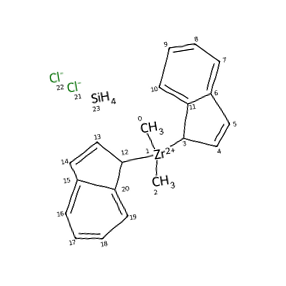 [CH3][Zr+2]([CH3])([CH]1C=Cc2ccccc21)[CH]1C=Cc2ccccc21.[Cl-].[Cl-].[SiH4]